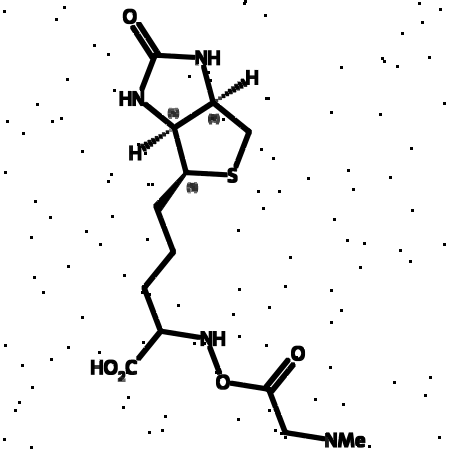 CNCC(=O)ONC(CCC[C@@H]1SC[C@@H]2NC(=O)N[C@@H]21)C(=O)O